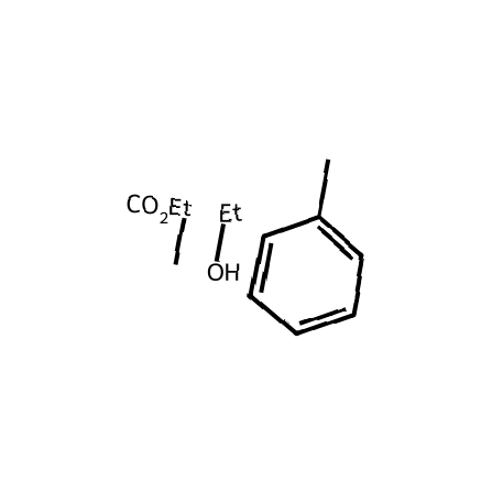 CCO.CCOC(C)=O.Cc1ccccc1